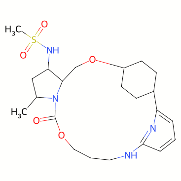 CC1CC(NS(C)(=O)=O)C2COC3CCC(CC3)c3cccc(n3)NCCCOC(=O)N12